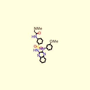 CNCC(=O)Nc1cccc(S(=O)(=O)Nc2nc3ccccc3nc2Nc2cccc(OC)c2)c1